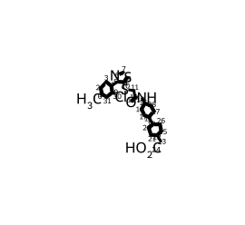 Cc1ccc(-c2ncsc2SCC(=O)Nc2ccc(-c3ccc(CC(=O)O)cc3)cc2)c(Cl)c1